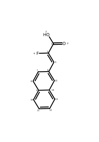 O=C(O)/C(F)=C/c1ccc2ccccc2c1